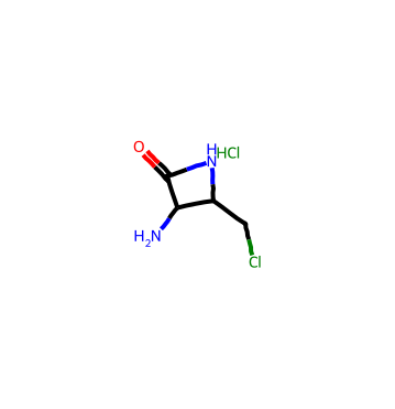 Cl.NC1C(=O)NC1CCl